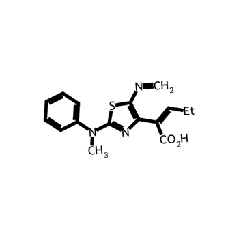 C=Nc1sc(N(C)c2ccccc2)nc1C(=CCC)C(=O)O